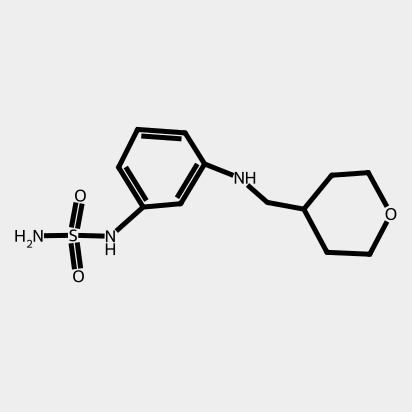 NS(=O)(=O)Nc1cccc(NCC2CCOCC2)c1